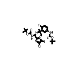 CC(C)(C)OC(=O)NC1=NC(C)(c2cc(NC(=O)OC(C)(C)C)ccc2F)Cn2c1nc(Cl)c2I